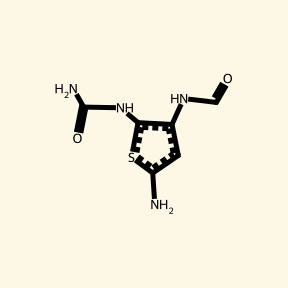 NC(=O)Nc1sc(N)cc1NC=O